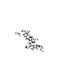 CC(N)C(=O)NC(C)C(=O)Nc1cc(CC(CCC(=O)O)NC(=O)OC(C)(C)C)ccc1O